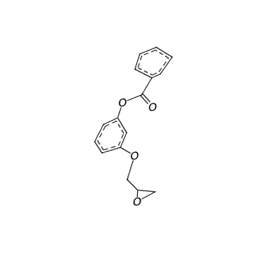 O=C(Oc1cccc(OCC2CO2)c1)c1ccccc1